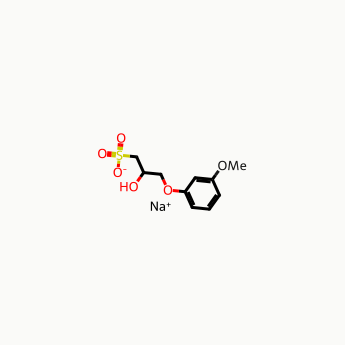 COc1cccc(OCC(O)CS(=O)(=O)[O-])c1.[Na+]